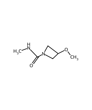 CNC(=O)N1CC(OC)C1